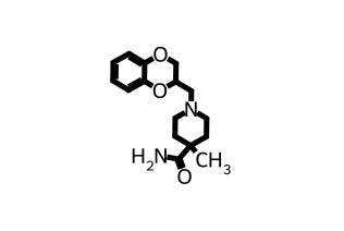 CC1(C(N)=O)CCN(CC2COc3ccccc3O2)CC1